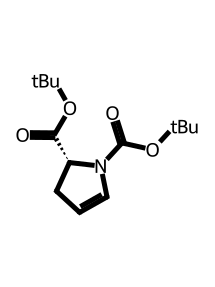 CC(C)(C)OC(=O)[C@H]1CC=CN1C(=O)OC(C)(C)C